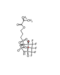 C=C(C)C(=O)OCCCS(=O)(=O)NS(=O)(=O)C(F)(F)C(F)(F)C(F)(F)S(=O)(=O)NS(=O)(=O)C(F)(F)F